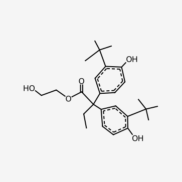 CCC(C(=O)OCCO)(c1ccc(O)c(C(C)(C)C)c1)c1ccc(O)c(C(C)(C)C)c1